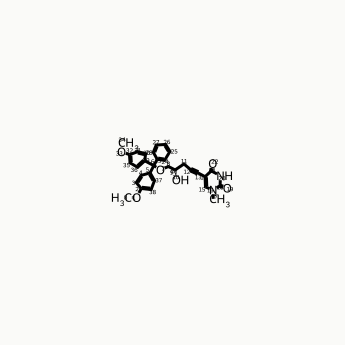 COc1ccc(C(OC[C@@H](O)CC#Cc2cn(C)c(=O)[nH]c2=O)(c2ccccc2)c2ccc(OC)cc2)cc1